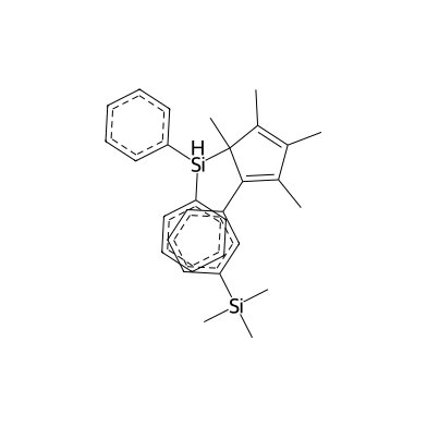 CC1=C(C)C(C)([SiH](c2ccccc2)c2ccccc2)C(c2cccc([Si](C)(C)C)c2)=C1C